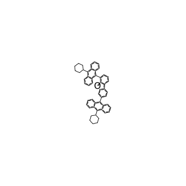 c1ccc2c(C3CCCCC3)c3ccccc3c(-c3ccc4c(c3)oc3c(-c5c6ccccc6c(C6CCCCC6)c6ccccc56)cccc34)c2c1